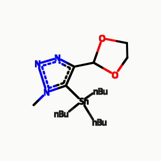 CCC[CH2][Sn]([CH2]CCC)([CH2]CCC)[c]1c(C2OCCO2)nnn1C